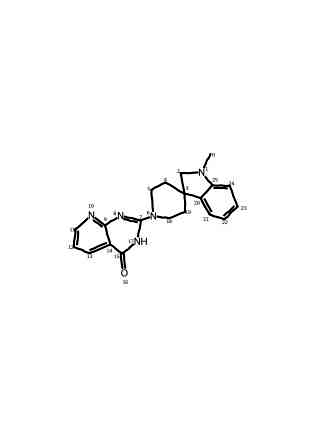 CN1CC2(CCN(c3nc4ncccc4c(=O)[nH]3)CC2)c2ccccc21